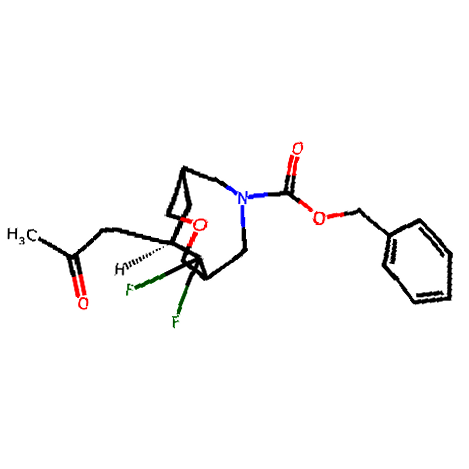 CC(=O)C[C@H]1CC2COCC(CN(C(=O)OCc3ccccc3)C2)C1(F)F